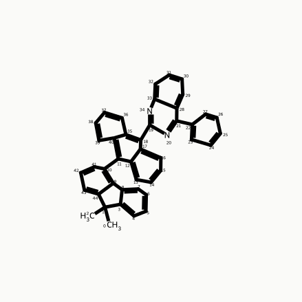 CC1(C)c2ccccc2-c2c(-c3c4ccccc4c(-c4nc(-c5ccccc5)c5ccccc5n4)c4ccccc34)cccc21